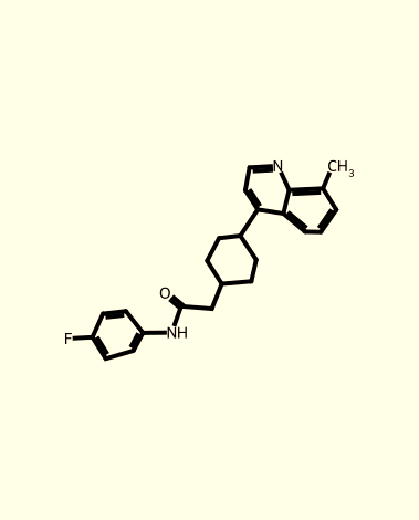 Cc1cccc2c(C3CCC(CC(=O)Nc4ccc(F)cc4)CC3)ccnc12